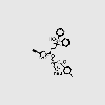 C#CC1=NO[C@H]([C@@H](CCC(C)(C)[Si](O)(c2ccccc2)c2ccccc2)OC[C@H](COCCCC)OS(=O)(=O)c2ccc(C)cc2)C1